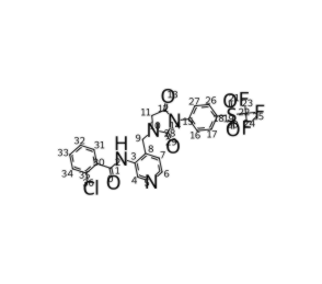 O=C(Nc1cnccc1CN1CC(=O)N(c2ccc(S(=O)(=O)C(F)(F)F)cc2)C1=O)c1ccccc1Cl